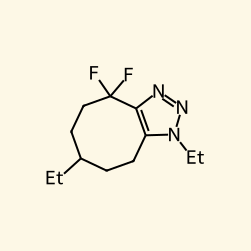 CCC1CCc2c(nnn2CC)C(F)(F)CC1